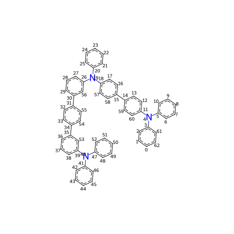 c1ccc(N(c2ccccc2)c2ccc(-c3ccc(N(c4ccccc4)c4cccc(-c5ccc(-c6cccc(N(c7ccccc7)c7ccccc7)c6)cc5)c4)cc3)cc2)cc1